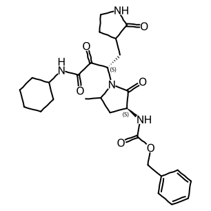 CC1C[C@H](NC(=O)OCc2ccccc2)C(=O)N1[C@@H](CC1CCNC1=O)C(=O)C(=O)NC1CCCCC1